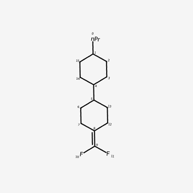 CCCC1CCC(C2CCC(=C(F)F)CC2)CC1